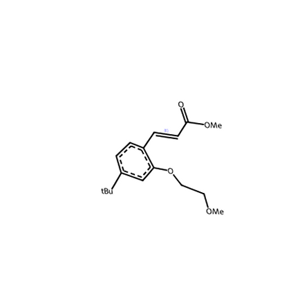 COCCOc1cc(C(C)(C)C)ccc1/C=C/C(=O)OC